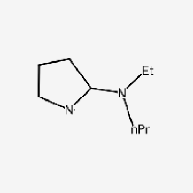 CCCN(CC)C1CCC[N]1